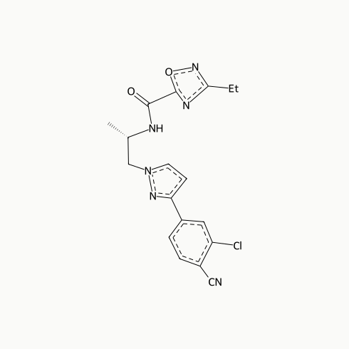 CCc1noc(C(=O)N[C@@H](C)Cn2ccc(-c3ccc(C#N)c(Cl)c3)n2)n1